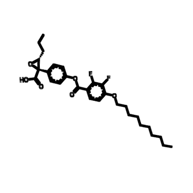 CCCCCCCCCCOc1ccc(C(=O)Oc2ccc([C@@]3(C(=O)O)O[C@@H]3CCC)cc2)c(F)c1F